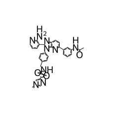 CC(=O)Nc1cccc(-c2ccc3nc(-c4cccnc4N)n(-c4ccc(CNS(=O)(=O)c5cn(C)cn5)cc4)c3n2)c1